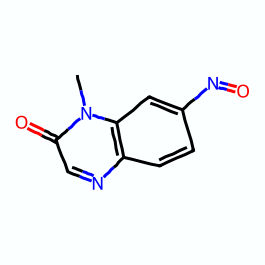 Cn1c(=O)cnc2ccc(N=O)cc21